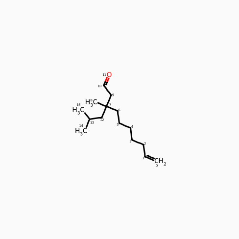 C=CCCCCCC(C)(CC=O)CC(C)C